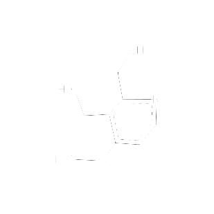 CCc1bccc(OC)c1CC